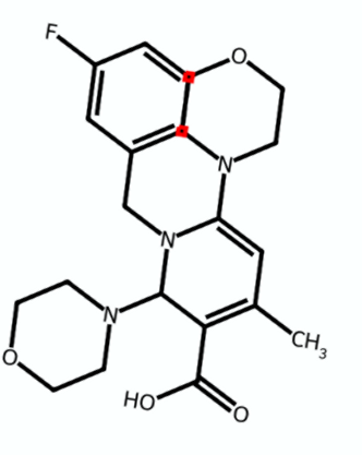 CC1=C(C(=O)O)C(N2CCOCC2)N(Cc2cccc(F)c2)C(N2CCOCC2)=C1